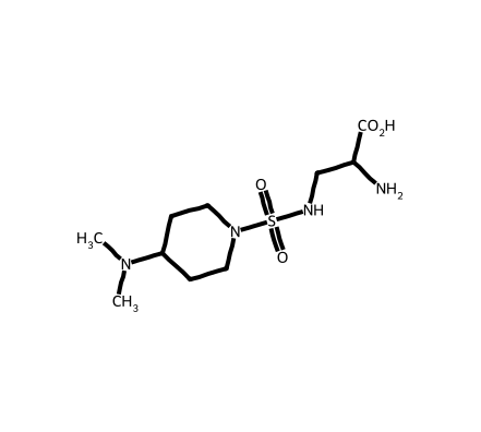 CN(C)C1CCN(S(=O)(=O)NCC(N)C(=O)O)CC1